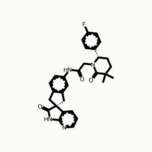 CC1(C)CC[C@@H](c2ccc(F)cc2)N(CC(=O)Nc2ccc3c(c2)C[C@@]2(C3)C(=O)Nc3ncccc32)C1=O